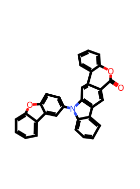 O=c1oc2ccccc2c2cc3c(cc12)c1ccccc1n3-c1ccc2oc3ccccc3c2c1